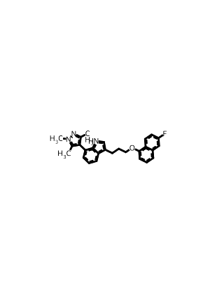 Cc1nn(C)c(C)c1-c1cccc2c(CCCOc3cccc4cc(F)ccc34)c[nH]c12